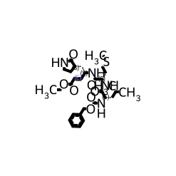 CCOC(=O)/C=C/[C@H](C[C@@H]1CCNC1=O)NC(=O)[C@H](CCSC)NC(=O)[C@H](CC(C)C)NC(=O)OCc1ccccc1